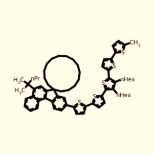 CCCCCCc1c(-c2ccc(-c3ccc(C)s3)s2)sc(-c2ccc(-c3ccc(-c4ccc5c(c4)C4(CCCCCCCCCCCCCC4)c4cc(C(C)(C)CCC)c6ccccc6c4-5)s3)s2)c1CCCCCC